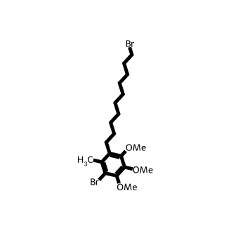 COc1c(Br)c(C)c(CCCCCCCCCCBr)c(OC)c1OC